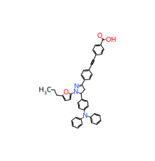 CCCc1ccc(N2N=C(c3ccc(C#Cc4ccc(C(=O)O)cc4)cc3)CC2c2ccc(N(c3ccccc3)c3ccccc3)cc2)o1